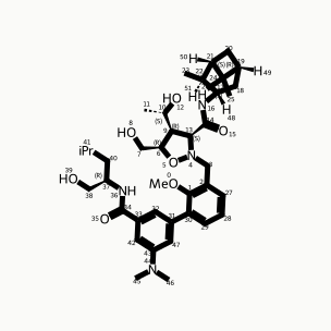 COc1c(CN2O[C@@H](CO)[C@@H]([C@H](C)O)[C@H]2C(=O)N[C@H]2C[C@H]3C[C@@H]([C@@H]2C)C3(C)C)cccc1-c1cc(C(=O)N[C@@H](CO)CC(C)C)cc(N(C)C)c1